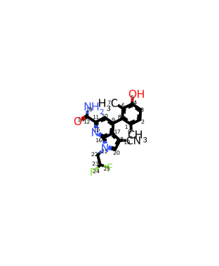 Cc1ccc(O)c(C)c1-c1cc(C(N)=O)nc2c1c(C#N)cn2CC(F)F